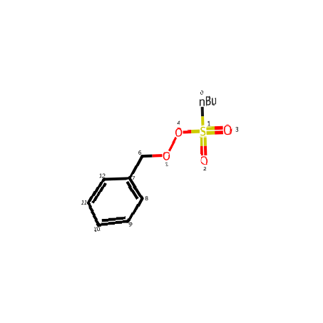 CCCCS(=O)(=O)OOCc1ccccc1